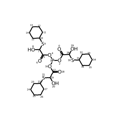 O=C(OP(OC(=O)C(O)SC1CCCCC1)OC(=O)C(O)SC1CCCCC1)C(O)SC1CCCCC1